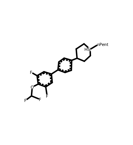 CCCCC[SiH]1CCC(c2ccc(-c3cc(F)c(OC(F)F)c(F)c3)cc2)CC1